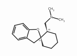 CN(C)C[C@H]1CCCC[C@]12Cc1ccccc1O2